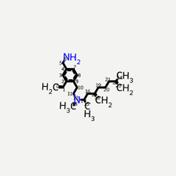 C=Cc1cc(CN)ccc1CCN(C)C(C)CC(=C)CCCC(=C)C